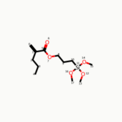 C=C(CCC)C(=O)OCCC[Si](OC)(OC)OC